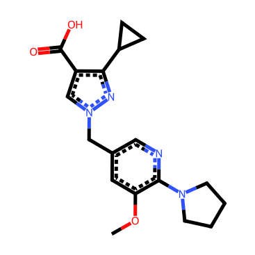 COc1cc(Cn2cc(C(=O)O)c(C3CC3)n2)cnc1N1CCCC1